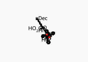 CCCCCCCCCCCCCCCC=CCC(CC(=O)O)C(=O)Nc1ccc(CN2C(=O)N(C(Cl)(C(=O)Nc3ccccc3)C(=O)c3ccccc3)C(=O)CN2c2ccccc2)cc1